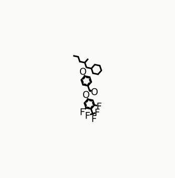 CCCC(C)C(Oc1ccc(C(=O)Oc2cc(F)c(C(F)(F)F)c(F)c2)cc1)C1CCCCC1